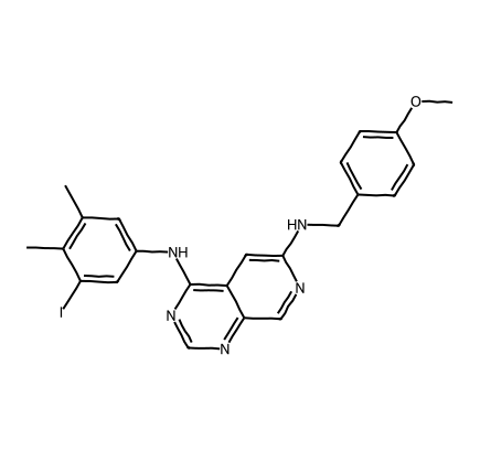 COc1ccc(CNc2cc3c(Nc4cc(C)c(C)c(I)c4)ncnc3cn2)cc1